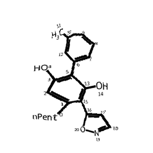 CCCCCc1cc(O)c(-c2cccc(C)c2)c(O)c1-c1ccno1